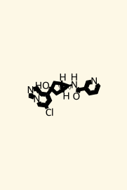 O=C(N[C@H]1[C@@H]2C[C@](O)(c3cc(Cl)cn4cncc34)C[C@@H]21)c1cccnc1